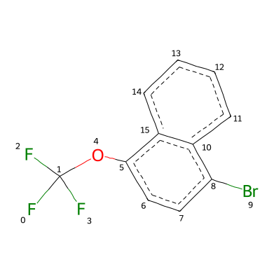 FC(F)(F)Oc1ccc(Br)c2ccccc12